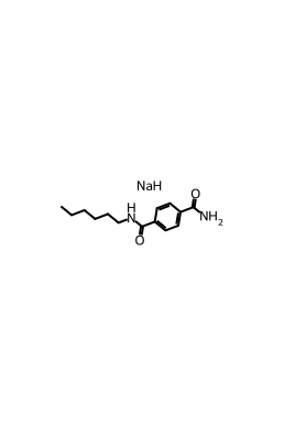 CCCCCCNC(=O)c1ccc(C(N)=O)cc1.[NaH]